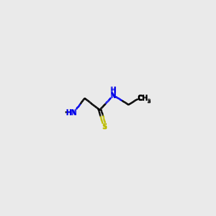 CCNC(=S)C[NH]